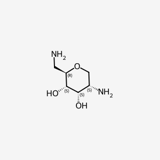 NC[C@H]1OC[C@H](N)[C@H](O)[C@@H]1O